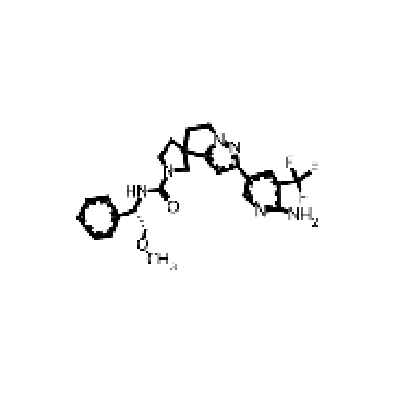 COC[C@@H](NC(=O)N1CCC2(CCn3nc(-c4cnc(N)c(C(F)(F)F)c4)cc32)C1)c1ccccc1